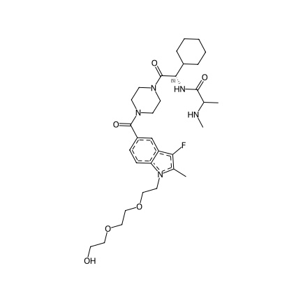 CNC(C)C(=O)N[C@H](C(=O)N1CCN(C(=O)c2ccc3c(c2)c(F)c(C)n3CCOCCOCCO)CC1)C1CCCCC1